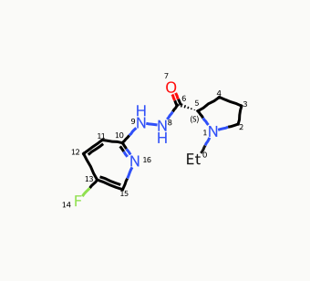 CCN1CCC[C@H]1C(=O)NNc1ccc(F)cn1